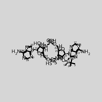 CC(C)(C)[Si](C)(C)OC1[C@H](n2cnc3c(N)ncnc32)O[C@@H]2COP(=O)(S)N[C@H]3[C@@H](O)[C@H](n4cnc5c(N)ncnc54)O[C@@H]3COP(=S)(S)N[C@@H]12